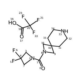 O=C(N1CC(F)(F)C1)N1CC2(CCNCC2)C1.O=C(O)C(F)(F)F